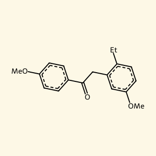 CCc1ccc(OC)cc1CC(=O)c1ccc(OC)cc1